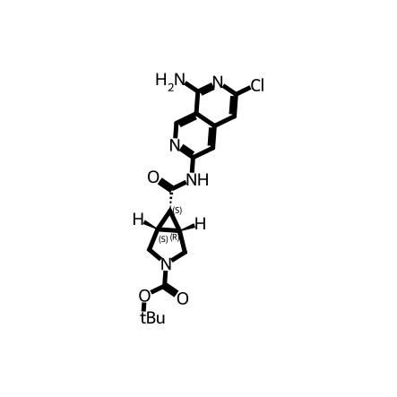 CC(C)(C)OC(=O)N1C[C@@H]2[C@H](C1)[C@@H]2C(=O)Nc1cc2cc(Cl)nc(N)c2cn1